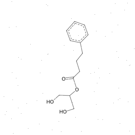 O=C(CCCc1ccccc1)OC(CO)CO